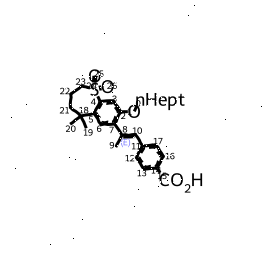 CCCCCCCOc1cc2c(cc1/C(C)=C/c1ccc(C(=O)O)cc1)C(C)(C)CCCS2(=O)=O